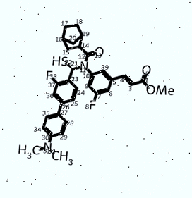 COC(=O)/C=C/c1cc(F)cc(N(C(=O)C2CC3CCC2C3)[C@H](S)c2ccc(-c3ccc(N(C)C)cc3)cc2F)c1